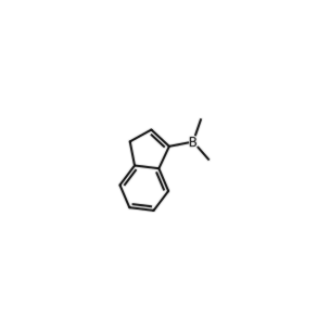 CB(C)C1=CCc2ccccc21